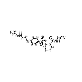 N#CCNC(=O)[C@H]1CCCC[C@@H]1CS(=O)(=O)c1ccc(SCCNCC(F)(F)F)cc1